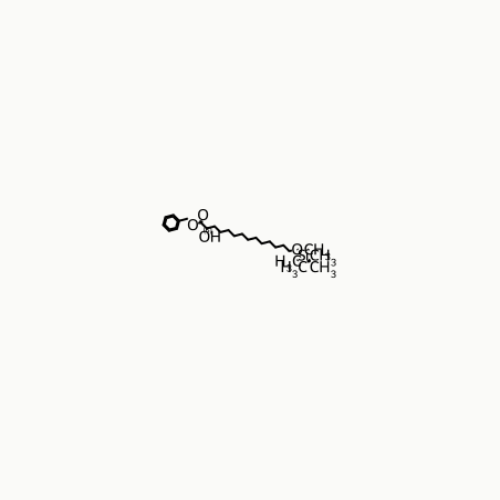 CC(C)(C)[Si](C)(C)OCCCCCCCCCCCC[C@H](O)C(=O)OCc1ccccc1